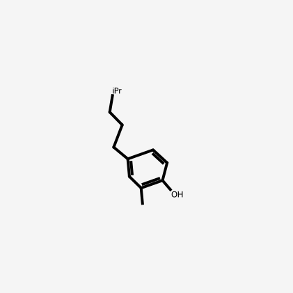 Cc1cc(CCCC(C)C)ccc1O